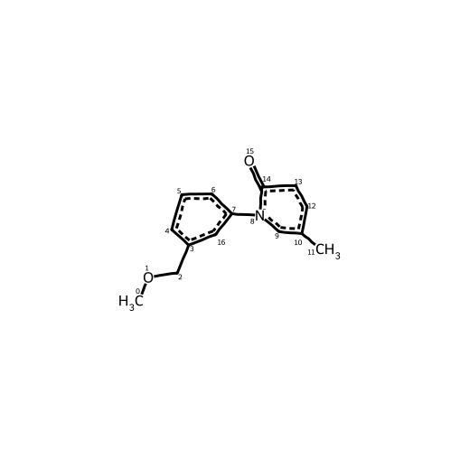 COCc1cccc(-n2cc(C)ccc2=O)c1